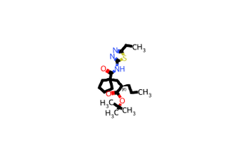 CCC[C@H](CC1(C(=O)Nc2nnc(CC)s2)CCCC1)C(=O)OC(C)(C)C